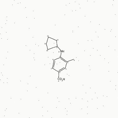 Cc1cc(C(=O)O)ccc1NC1CCCC1